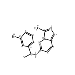 CC(Nc1ccc2nnc(C(F)(F)F)n2n1)c1cccc(Br)c1